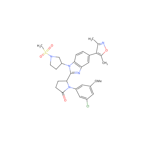 COc1cc(Cl)cc(N2C(=O)CCC2c2nc3cc(-c4c(C)noc4C)ccc3n2C2CCN(S(C)(=O)=O)C2)c1